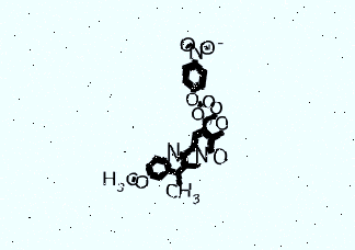 CCc1c2c(nc3ccc(OC)cc13)-c1cc3c(c(=O)n1C2)COC(=O)[C@H]3OC(=O)Oc1ccc([N+](=O)[O-])cc1